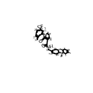 Cc1ccccc1N(C)c1ccc(CNC(=O)c2cccn(-c3cc(C(F)(F)F)ccc3C)c2=O)cc1